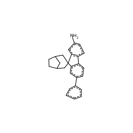 Nc1ccc2c(c1)C1(CC3CCC(C3)C1)c1cc(-c3ccccc3)ccc1-2